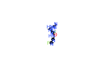 C/N=C\c1cc(Nc2cc(C)nc(-c3cnc(C(=O)NCc4ccc(-c5cc(F)cnc5C)nc4)c(F)c3)n2)[nH]n1